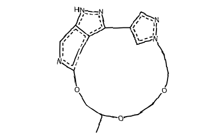 CC1COc2cc3c(n[nH]c3cn2)-c2cnn(c2)CCOCCO1